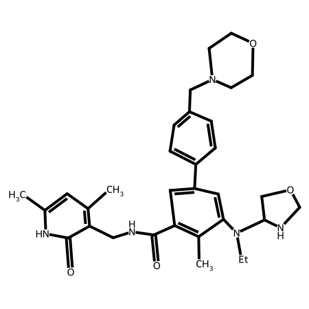 CCN(c1cc(-c2ccc(CN3CCOCC3)cc2)cc(C(=O)NCc2c(C)cc(C)[nH]c2=O)c1C)C1COCN1